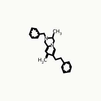 C=C1C=C2CN(Cc3ccccc3)C(C)CN2C=C1CCc1ccccc1